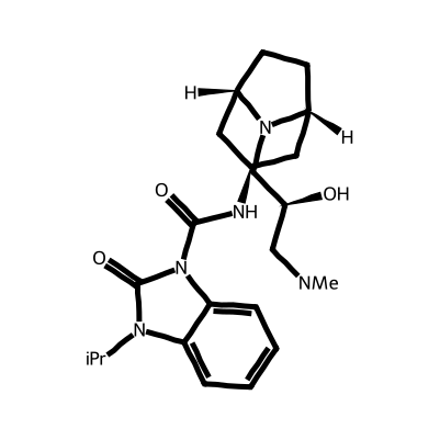 CNC[C@H](O)CN1[C@@H]2CC[C@H]1C[C@H](NC(=O)n1c(=O)n(C(C)C)c3ccccc31)C2